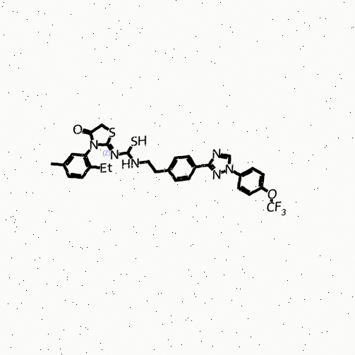 CCc1ccc(C)cc1N1C(=O)CS/C1=N\C(S)NCCc1ccc(-c2ncn(-c3ccc(OC(F)(F)F)cc3)n2)cc1